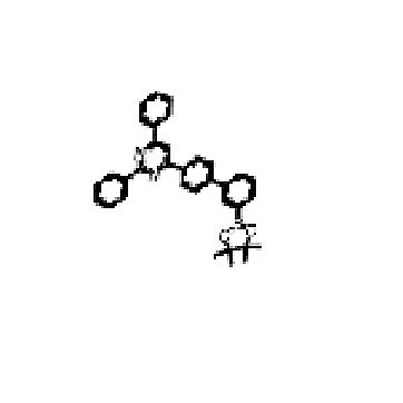 CC1(C)OB(c2cccc(-c3ccc(-c4cc(-c5ccccc5)nc(-c5ccccc5)n4)cc3)c2)OC1(C)C